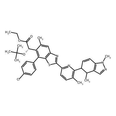 CCOC(=O)[C@@H](OC(C)(C)C)c1c(C)cc2nc(-c3ccc(C)c(C4C=Cc5c(cnn5C)C4C)n3)sc2c1-c1ccc(Cl)cc1